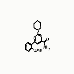 COc1ccccc1-c1cc(C(N)=O)nc(N2CCCCC2)n1